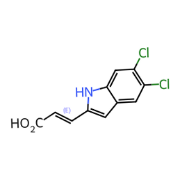 O=C(O)/C=C/c1cc2cc(Cl)c(Cl)cc2[nH]1